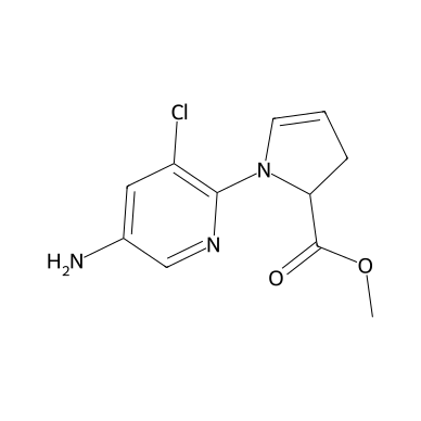 COC(=O)C1CC=CN1c1ncc(N)cc1Cl